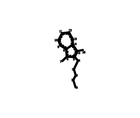 CCCCCc1c(C)c2cccccc-2c1C